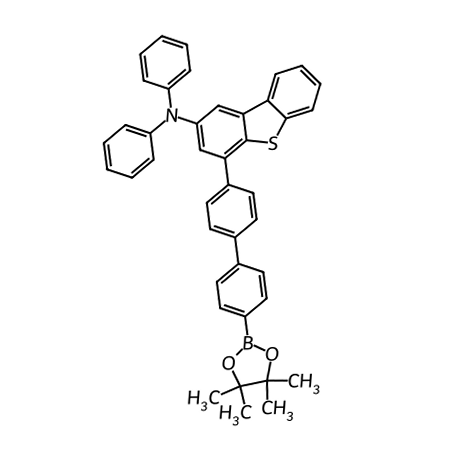 CC1(C)OB(c2ccc(-c3ccc(-c4cc(N(c5ccccc5)c5ccccc5)cc5c4sc4ccccc45)cc3)cc2)OC1(C)C